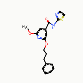 COc1cc(C(=O)Nc2nccs2)cc(OCCCc2ccccc2)n1